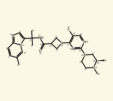 Cc1ccc2ncc(C(C)(C)NC(=O)C3CN(c4nc(N5CCN(C)[C@H](C)C5)ncc4F)C3)n2c1